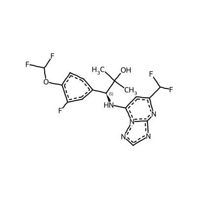 CC(C)(O)[C@@H](Nc1cc(C(F)F)nc2ncnn12)c1ccc(OC(F)F)c(F)c1